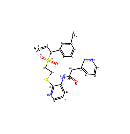 C=CC(c1cccc(C(F)(F)F)c1)S(=O)(=O)CCSc1ncccc1NC(=O)Cc1cccnc1